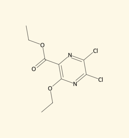 CCOC(=O)c1nc(Cl)c(Cl)nc1OCC